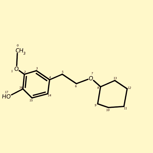 COc1cc(CCOC2CCCCC2)ccc1O